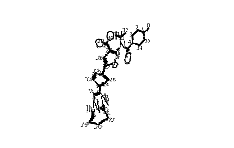 CC1CCC(C(=O)N(c2sc(-c3ccc(-c4cn5ccccc5n4)cc3)cc2C(=O)O)C(C)C)CC1